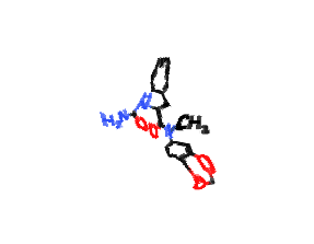 CN(C(=O)[C@H](Cc1ccccc1)NC(N)=O)c1ccc2c(c1)OCO2